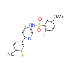 COc1ccc(F)c(S(=O)(=O)Nc2ccc(-c3ccc(C#N)c(F)c3)nc2)c1